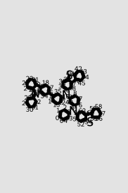 c1ccc(N(c2cccc(N(c3cccc(-c4ccc5c6ccccc6n(-c6ccccc6)c5c4)c3)c3ccc4sc5ccccc5c4c3)c2)c2ccc3sc4ccccc4c3c2)cc1